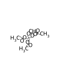 CCC(=O)OCC1(COC(=O)CC)COC(C)(COC(=O)CC)OC1